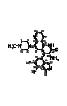 CN1CCN(c2cc3c(-c4cc(F)c(F)c5[nH]ncc45)c(N)c(=O)[nH]c3c3cccnc23)CC1